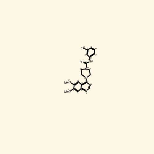 COc1cc2ncnc(N3CCN(C(=O)Nc4cccc(Cl)c4)CC3)c2cc1OC